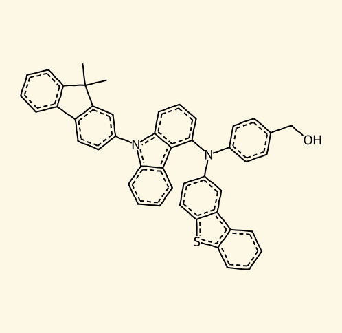 CC1(C)c2ccccc2-c2ccc(-n3c4ccccc4c4c(N(c5ccc(CO)cc5)c5ccc6sc7ccccc7c6c5)cccc43)cc21